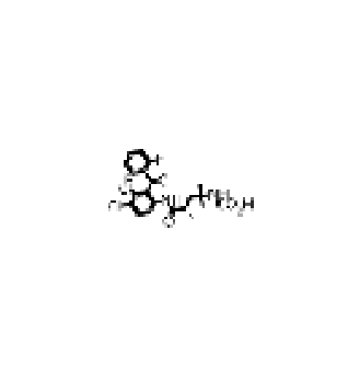 C[C@@H](CC(C)(C)NC(=O)O)C(=O)Nc1ccc(Cl)c(Cl)c1C(=O)c1c(F)cccc1F